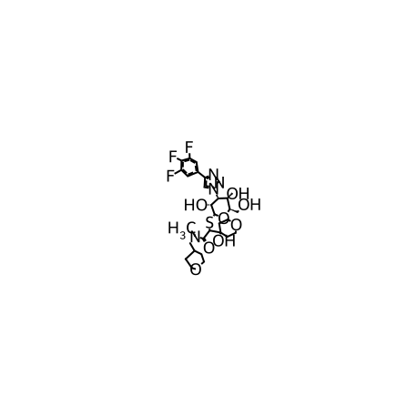 CN(CC1CCOCC1)C(=O)[C@@H](S[C@@H]1O[C@H](CO)[C@H](O)[C@H](n2cc(-c3cc(F)c(F)c(F)c3)nn2)[C@H]1O)C1(O)CCOCC1